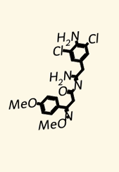 CO/N=C(/CC(=O)/N=C(\N)Cc1cc(Cl)c(N)c(Cl)c1)c1ccc(OC)cc1